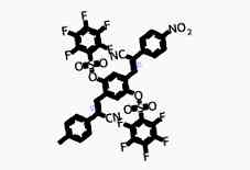 Cc1ccc(/C(C#N)=C/c2cc(OS(=O)(=O)c3c(F)c(F)c(F)c(F)c3F)c(/C=C(\C#N)c3ccc([N+](=O)[O-])cc3)cc2OS(=O)(=O)c2c(F)c(F)c(F)c(F)c2F)cc1